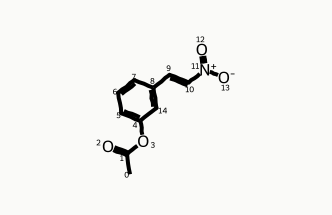 CC(=O)Oc1cccc(/C=C/[N+](=O)[O-])c1